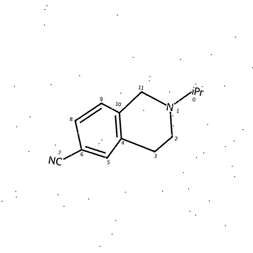 CC(C)N1CCc2cc(C#N)ccc2C1